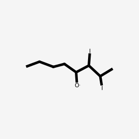 CCCCC([O])C(I)C(C)I